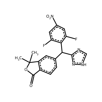 CC1(C)OC(=O)c2ccc(C(c3nc[nH]n3)c3c(F)cc([N+](=O)[O-])cc3F)cc21